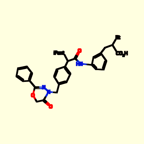 CCCC(C)C(C(=O)Nc1cccc(CC(CC)C(=O)O)c1)c1ccc(CN2N=C(c3ccccc3)OCC2=O)cc1